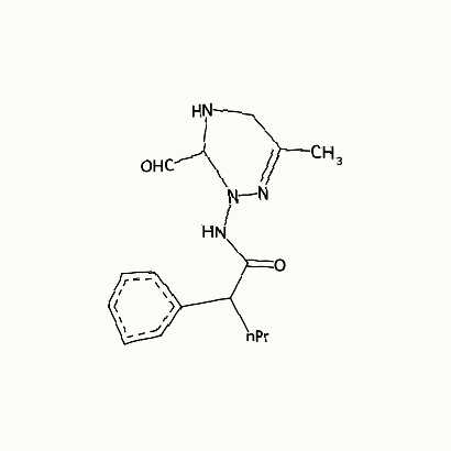 CCCC(C(=O)NN1N=C(C)CNC1C=O)c1ccccc1